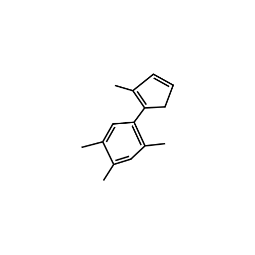 CC1=C(c2cc(C)c(C)cc2C)CC=C1